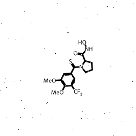 COc1cc(C(=S)N2CCCC2C(=O)NO)cc(C(F)(F)F)c1OC